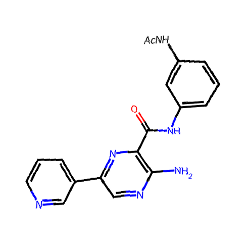 CC(=O)Nc1cccc(NC(=O)c2nc(-c3cccnc3)cnc2N)c1